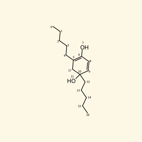 CCCCCC1=C(O)C=CC(O)(CCCCC)C1